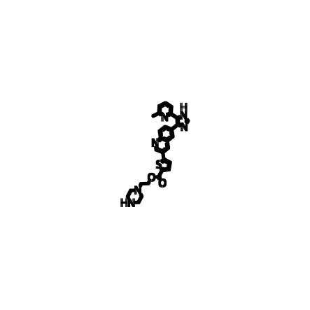 Cc1cccc(-c2[nH]cnc2-c2ccc3ncc(-c4ccc(C(=O)OCCN5CCNCC5)s4)cc3c2)n1